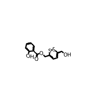 O=C(OCC1=CC=C(CO)SS1)c1ccccc1O